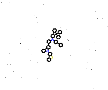 c1ccc(-c2ccc(N(c3cccc(-c4ccc5c(c4)c4ccccc4n5-c4ccc5sc6ccccc6c5c4)c3)c3ccc4c(c3)C(c3ccccc3)(c3ccccc3)c3ccccc3-4)cc2)cc1